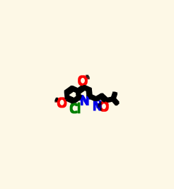 COc1ccc2c(OC)cc(-c3cc(C(C)C)on3)nc2c1Cl